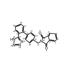 O=C1c2ccccc2C(=O)N1Cc1ccc(-c2ccccc2-c2nnn[nH]2)cc1